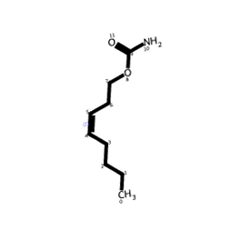 CCCC/C=C\CCOC(N)=O